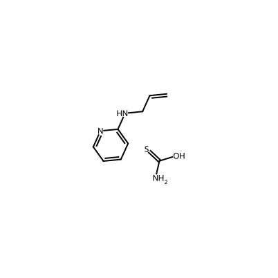 C=CCNc1ccccn1.NC(O)=S